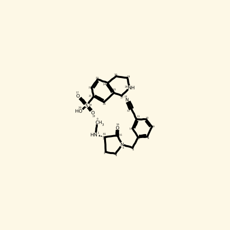 CN[C@H]1CCN(Cc2cccc(C#N)c2)C1=O.O=S(=O)(O)c1ccc2c(c1)CNCC2